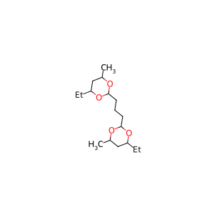 CCC1CC(C)OC(CCCC2OC(C)CC(CC)O2)O1